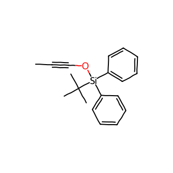 CC#CO[Si](c1ccccc1)(c1ccccc1)C(C)(C)C